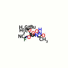 Cc1cn([C@H]2C[C@H](O/C=C(\F)C#N)[C@@H](CO[Si](C)(C)C(C)(C)C)O2)c(=O)[nH]c1=O